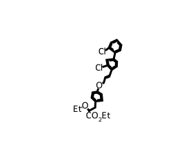 CCOC(=O)[C@H](Cc1ccc(OC/C=C/c2ccc(-c3ccccc3Cl)cc2Cl)cc1)OCC